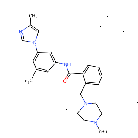 CCCCN1CCN(Cc2ccccc2C(=O)Nc2cc(-n3cnc(C)c3)cc(C(F)(F)F)c2)CC1